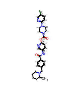 CC1CCCCN1Cc1ccc(C(=O)Nc2ccc(OC(=O)N3CCN(c4ccc(F)cn4)CC3)nc2)cc1